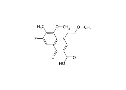 COCCn1cc(C(=O)O)c(=O)c2cc(F)c(C)c(OC)c21